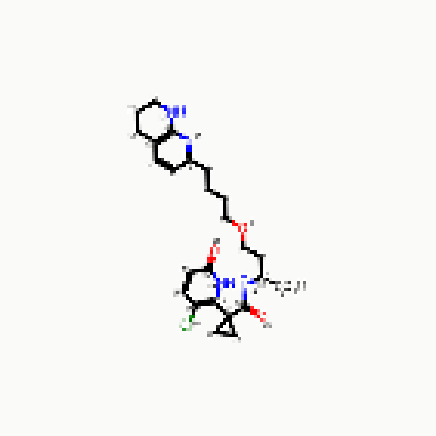 O=C(O)[C@H](CCOCCCCc1ccc2c(n1)NCCC2)NC(=O)C1(c2[nH]c(=O)ccc2Cl)CC1